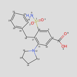 NS(=O)(=O)c1cc(C(=O)O)cc(N2CCCC2)c1Cc1ccccc1